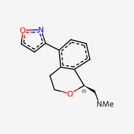 CNC[C@H]1OCCc2c(-c3ccon3)cccc21